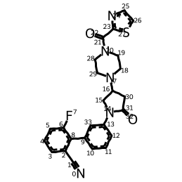 N#Cc1cccc(F)c1-c1cccc(N2CC(N3CCN(C(=O)c4nccs4)CC3)CC2=O)c1